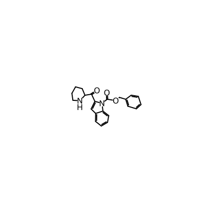 O=C(c1cc2ccccc2n1C(=O)OCc1ccccc1)C1CCCCN1